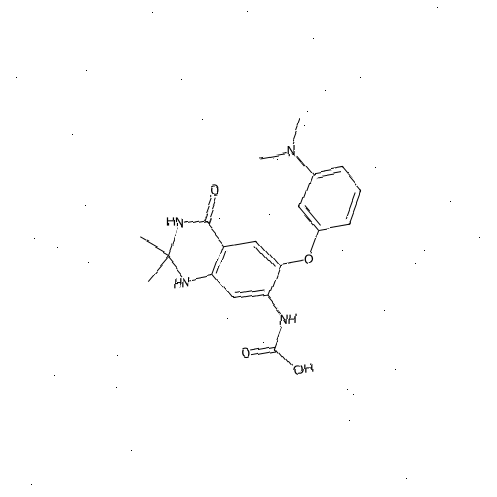 CN(C)c1cccc(Oc2cc3c(cc2NC(=O)O)NC(C)(C)NC3=O)c1